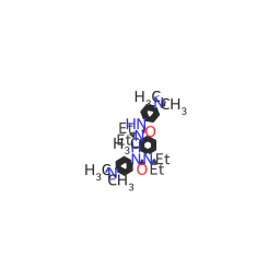 CCC(CC)N(C(=O)Nc1ccc(N(C)C)cc1)C1CCCC(C)(N(C(=O)Nc2ccc(N(C)C)cc2)C(CC)CC)C1